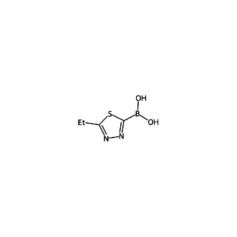 CCc1nnc(B(O)O)s1